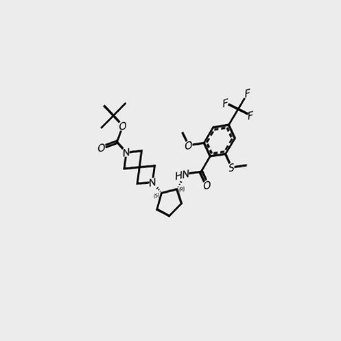 COc1cc(C(F)(F)F)cc(SC)c1C(=O)N[C@@H]1CCC[C@@H]1N1CC2(CN(C(=O)OC(C)(C)C)C2)C1